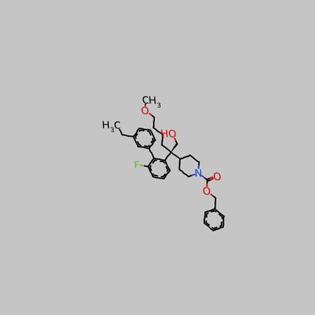 CCc1cccc(-c2c(F)cccc2[C@](CO)(CCCCOC)C2CCN(C(=O)OCc3ccccc3)CC2)c1